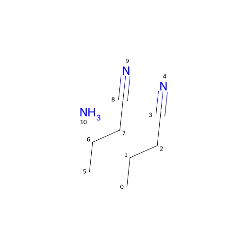 CCCC#N.CCCC#N.N